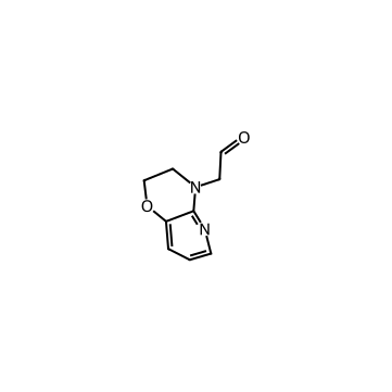 O=CCN1CCOc2cccnc21